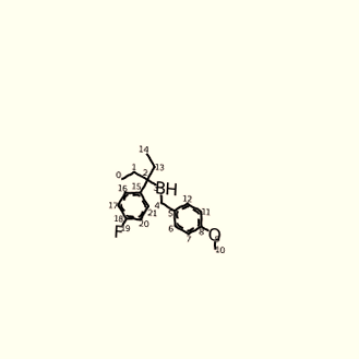 CCC(BCc1ccc(OC)cc1)(CC)c1ccc(F)cc1